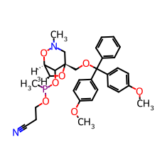 [3H][C@@H]1O[C@@]2(COC(c3ccccc3)(c3ccc(OC)cc3)c3ccc(OC)cc3)CN(C)O[C@H]1C2OP(C)OCCC#N